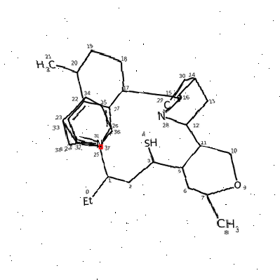 CCC(CC(S)C1CC(C)OCC1C1CC2C=C(C3CCC(C)c4ccccc43)N1CC2)N1CC2CCC1CC2